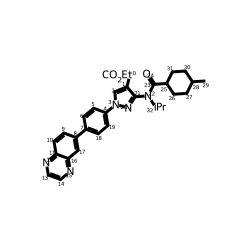 CCOC(=O)c1cn(-c2ccc(-c3ccc4nccnc4c3)cc2)nc1N(C(=O)C1CCC(C)CC1)C(C)C